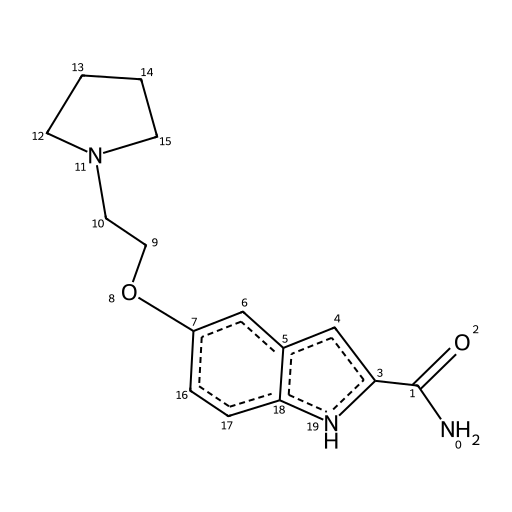 NC(=O)c1cc2cc(OCCN3CCCC3)ccc2[nH]1